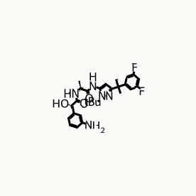 C[C@H](NC(=O)[C@@H](O)c1cccc(N)c1)C(=O)Nc1cc(C(C)(C)c2cc(F)cc(F)c2)nn1C(C)(C)C